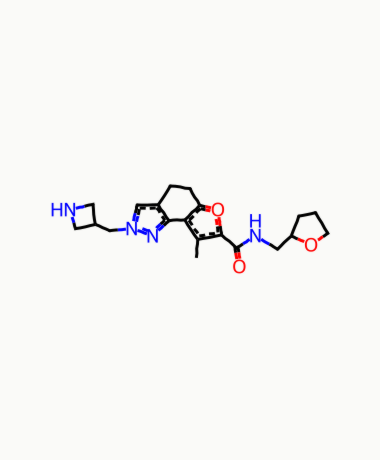 Cc1c(C(=O)NCC2CCCO2)oc2c1-c1nn(CC3CNC3)cc1CC2